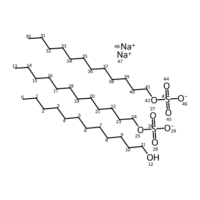 CCCCCCCCCCCCO.CCCCCCCCCCCCOS(=O)(=O)[O-].CCCCCCCCCCCCOS(=O)(=O)[O-].[Na+].[Na+]